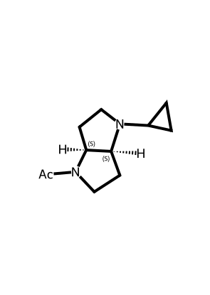 CC(=O)N1CC[C@H]2[C@@H]1CCN2C1CC1